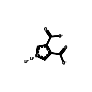 O=C([O-])c1cscc1C(=O)[O-].[Li+].[Li+]